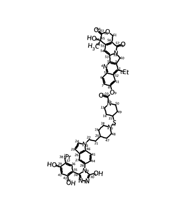 CCc1c2c(nc3ccc(OC(=O)N4CCC(SN5CCC(CCn6ccc7cc(-n8c(O)nnc8-c8cc(C(C)C)c(O)cc8O)ccc76)CC5)CC4)cc13)-c1cc3c(c(=O)n1C2)COC(=O)[C@@]3(C)O